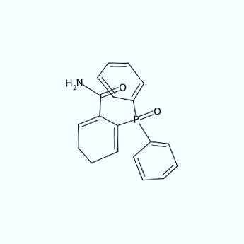 NC(=O)C1=CCCC=C1P(=O)(c1ccccc1)c1ccccc1